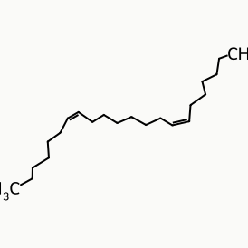 CCCCCC/C=C\CCCCCC/C=C\CCCCCC